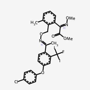 CO/N=C(/C(=O)OC)c1cccc(C)c1CO/N=C(\C)c1ccc(Oc2ccc(Cl)cc2)cc1C(F)(I)I